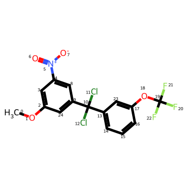 COc1cc([N+](=O)[O-])cc(C(Cl)(Cl)c2cccc(OC(F)(F)F)c2)c1